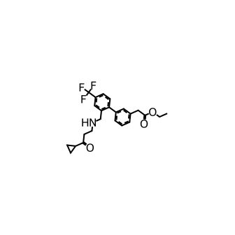 CCOC(=O)Cc1cccc(-c2ccc(C(F)(F)F)cc2CNCCC(=O)C2CC2)c1